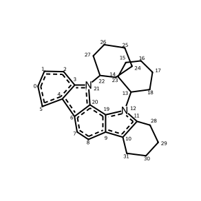 c1ccc2c(c1)c1ccc3c4c(n(C5CCCCC5)c3c1n2C1CCCCC1)CCCC4